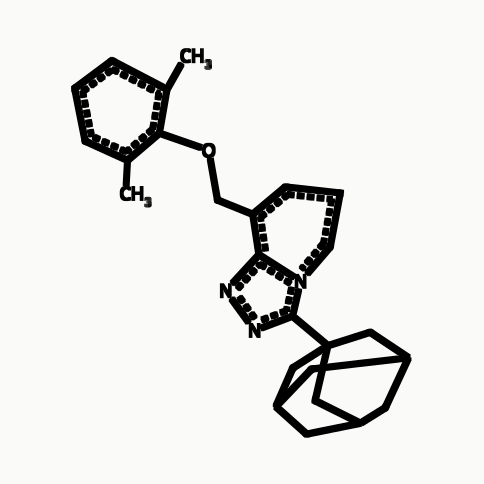 Cc1cccc(C)c1OCc1cccn2c(C34CC5CC(CC(C5)C3)C4)nnc12